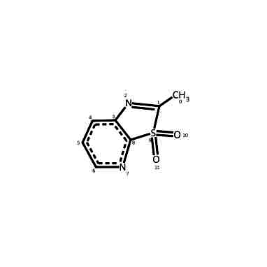 CC1=Nc2cccnc2S1(=O)=O